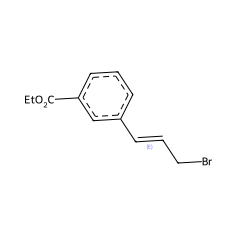 CCOC(=O)c1cccc(/C=C/CBr)c1